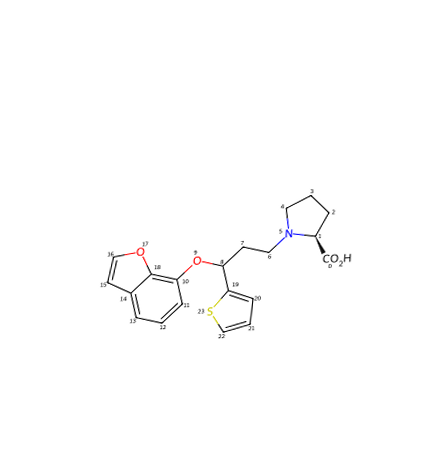 O=C(O)[C@@H]1CCCN1CCC(Oc1cccc2ccoc12)c1cccs1